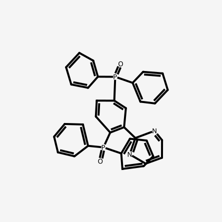 O=P(c1ccccc1)(c1ccccc1)c1ccc(P(=O)(c2ccccc2)c2ccccc2)c(-c2ncccn2)c1